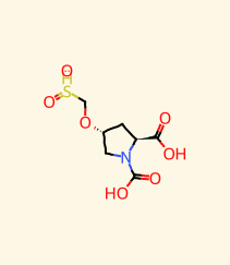 O=C(O)[C@@H]1C[C@@H](OC[SH](=O)=O)CN1C(=O)O